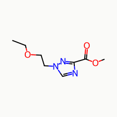 CCOCCn1cnc(C(=O)OC)n1